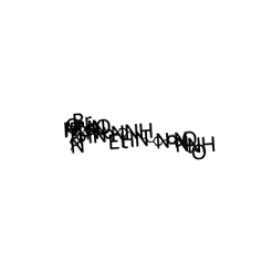 CCc1cc(Nc2ncc(Br)c(Nc3ccc4nc(C)ccc4c3P(C)(C)=O)n2)c(OC)cc1N1CCC(NCCNCCC2CCN(c3ccc4nn(C5CCC(=O)NC5=O)cc4c3)CC2)CC1